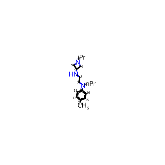 CCCN(CCNC1CN(C(C)C)C1)c1ccc(C)cc1